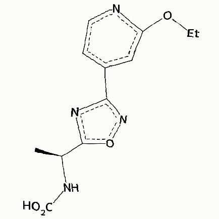 CCOc1cc(-c2noc([C@H](C)NC(=O)O)n2)ccn1